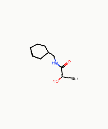 CCCCC(O)C(=O)NCC1CCCCC1